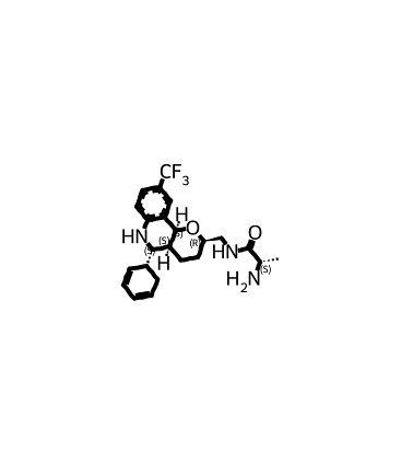 C[C@H](N)C(=O)NC[C@H]1CC[C@@H]2[C@H](O1)c1cc(C(F)(F)F)ccc1N[C@H]2C1C=CC=CC1